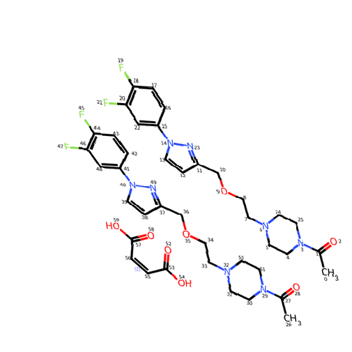 CC(=O)N1CCN(CCOCc2ccn(-c3ccc(F)c(F)c3)n2)CC1.CC(=O)N1CCN(CCOCc2ccn(-c3ccc(F)c(F)c3)n2)CC1.O=C(O)/C=C\C(=O)O